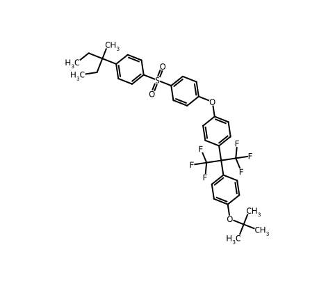 CCC(C)(CC)c1ccc(S(=O)(=O)c2ccc(Oc3ccc(C(c4ccc(OC(C)(C)C)cc4)(C(F)(F)F)C(F)(F)F)cc3)cc2)cc1